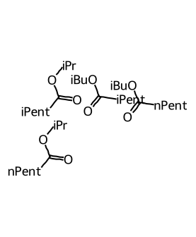 CCCC(C)C(=O)OC(C)C.CCCC(C)C(=O)OCC(C)C.CCCCCC(=O)OC(C)C.CCCCCC(=O)OCC(C)C